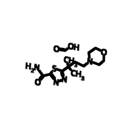 CC(C)(CCN1CCOCC1)c1nnc(C(N)=O)s1.O=CO